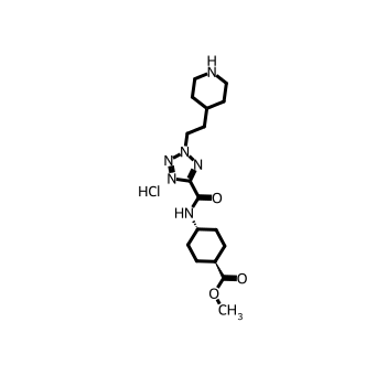 COC(=O)[C@H]1CC[C@H](NC(=O)c2nnn(CCC3CCNCC3)n2)CC1.Cl